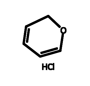 C1=CCOC=C1.Cl